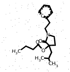 CCCC(=O)OC1(CC(C)C)CCN(CCc2ccccc2)C1=O